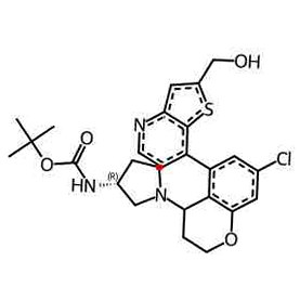 CC(C)(C)OC(=O)N[C@@H]1CCN(C2CCOc3cc(Cl)cc(-c4ccnc5cc(CO)sc45)c32)C1